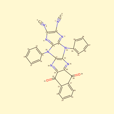 [C-]#[N+]c1nc2c(nc1[N+]#[C-])n(-c1ccccc1)c1nc3c(=O)c4ccccc4c(=O)c3nc1n2-c1ccccc1